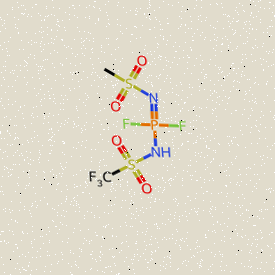 CS(=O)(=O)N=P(F)(F)NS(=O)(=O)C(F)(F)F